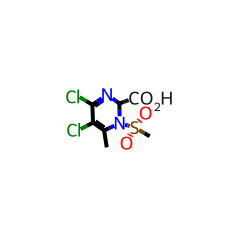 CC1=C(Cl)C(Cl)=NC(C(=O)O)N1S(C)(=O)=O